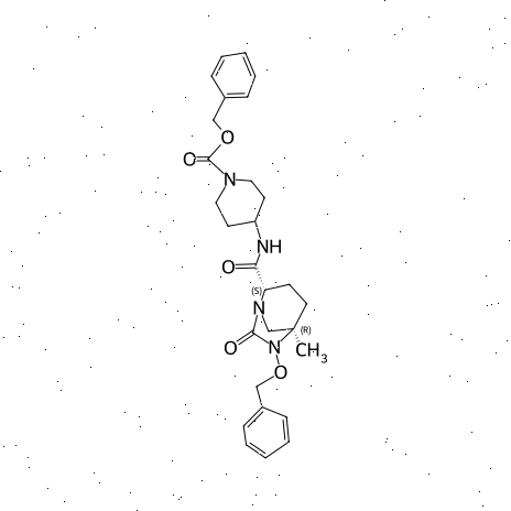 C[C@@]12CC[C@@H](C(=O)NC3CCN(C(=O)OCc4ccccc4)CC3)N(C1)C(=O)N2OCc1ccccc1